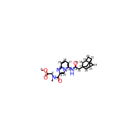 COC(=O)CN(C)C(=O)c1cn2c(NC(=O)CC34CC5CC(C3)C53CC3C4)cccc2n1